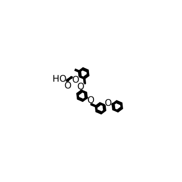 Cc1cccc(COc2cccc(OCc3cccc(Oc4ccccc4)c3)c2)c1OCC(=O)O